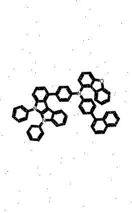 C1=CCC(n2c3ccccc3c3c4c(-c5ccc(N(c6ccc(-c7cccc8ccccc78)cc6)c6cccc7oc8ccccc8c67)cc5)cccc4n(-c4ccccc4)c32)C=C1